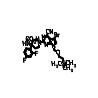 C[Si](C)(C)CCOCn1cc(Br)c2c(C#N)nc(N3CCC(NC(=O)O)(c4ccc(F)cc4F)CC3)nc21